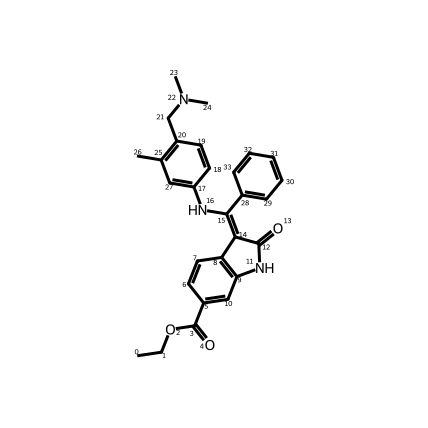 CCOC(=O)c1ccc2c(c1)NC(=O)C2=C(Nc1ccc(CN(C)C)c(C)c1)c1ccccc1